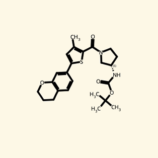 Cc1cc(-c2ccc3c(c2)OCCC3)sc1C(=O)N1CC[C@H](NC(=O)OC(C)(C)C)C1